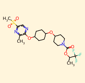 Cc1nc(S(C)(=O)=O)cnc1OC1CCC(OC2CCN(C(=O)OC(C)C(F)(F)F)CC2)CC1